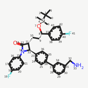 CC(C)(C)[Si](C)(C)O[C@@H](CC[C@H]1C(=O)N(c2ccc(F)cc2)[C@@H]1c1ccc(-c2cccc(CN)c2)cc1)c1ccc(F)cc1